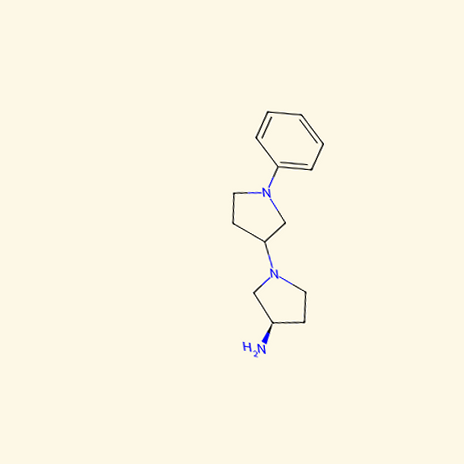 N[C@@H]1CCN(C2CCN(c3ccccc3)C2)C1